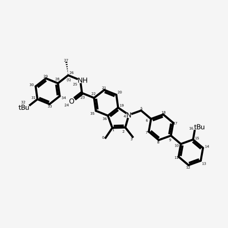 Cc1c(C)n(Cc2ccc(-c3ccccc3C(C)(C)C)cc2)c2ccc(C(=O)N[C@@H](C)c3ccc(C(C)(C)C)cc3)cc12